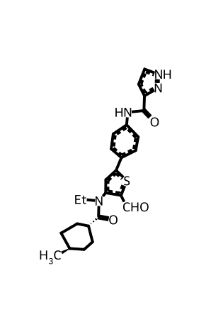 CCN(c1cc(-c2ccc(NC(=O)c3cc[nH]n3)cc2)sc1C=O)C(=O)[C@H]1CC[C@H](C)CC1